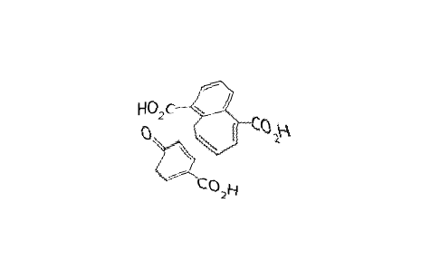 O=C(O)c1cccc2c(C(=O)O)cccc12.O=C1C=CC(C(=O)O)=CC1